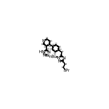 CCCCn1nc(CCC(C)C)nc1Cc1ccc(-c2ccncc2-c2nnn[nH]2)cc1